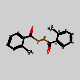 Cc1ccccc1C(=O)SSC(=O)c1ccccc1C